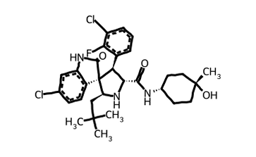 CC(C)(C)C[C@@H]1N[C@@H](C(=O)N[C@H]2CC[C@@](C)(O)CC2)[C@H](c2cccc(Cl)c2F)[C@]12C(=O)Nc1cc(Cl)ccc12